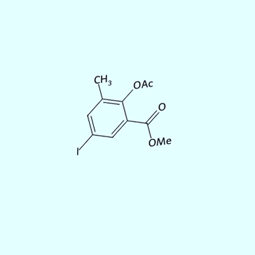 COC(=O)c1cc(I)cc(C)c1OC(C)=O